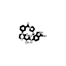 CO[C@H]1CCN(C(=O)c2cccc(N3CCO[C@H]([C@@H](O)C(=O)Nc4ccc5c(c4)CNC5=N)C3=O)c2)C1